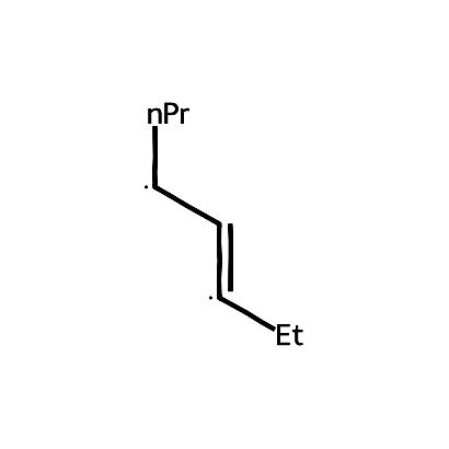 [CH2]C/[C]=C/[CH]CC[CH2]